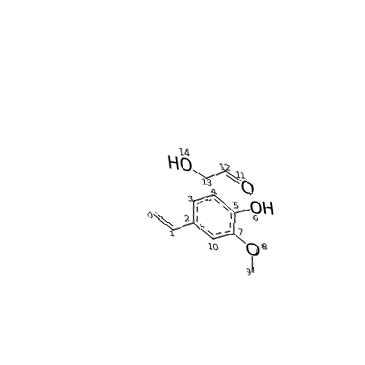 C=Cc1ccc(O)c(OC)c1.O=CCO